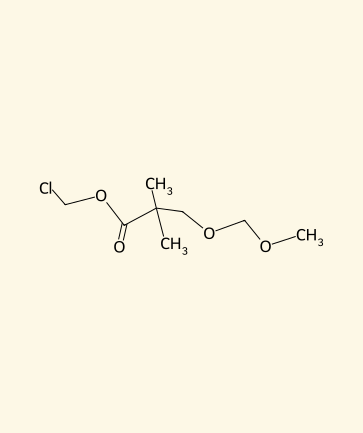 COCOCC(C)(C)C(=O)OCCl